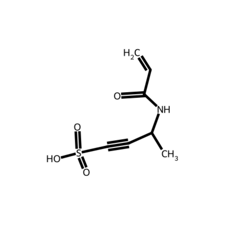 C=CC(=O)NC(C)C#CS(=O)(=O)O